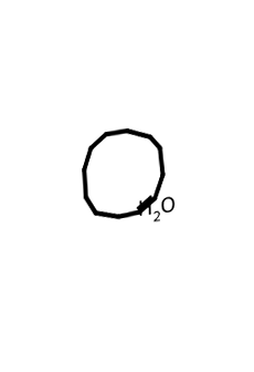 C1=CCCCCCCCCCC1.O